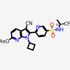 COc1ccc2c(C#N)c(-c3ccc(S(=O)(=O)N[C@@H](C)C(F)(F)F)cn3)n(C3CCC3)c2n1